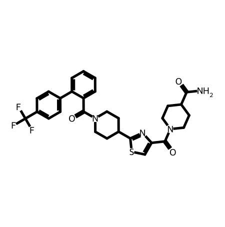 NC(=O)C1CCN(C(=O)c2csc(C3CCN(C(=O)c4ccccc4-c4ccc(C(F)(F)F)cc4)CC3)n2)CC1